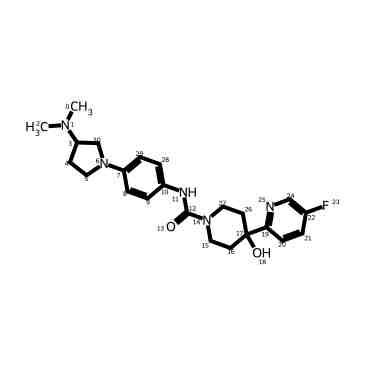 CN(C)C1CCN(c2ccc(NC(=O)N3CCC(O)(c4ccc(F)cn4)CC3)cc2)C1